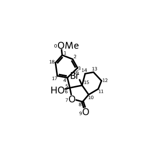 COc1ccc(C2(O)OC(=O)C3CCCCC32Br)cc1